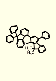 CC1(C)c2ccccc2-c2c(-c3ccccc3)cc(-c3cccc4c3-c3ccccc3C4(c3ccccc3)c3ccccc3)c(Cl)c21